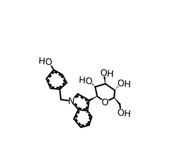 OC[C@H]1O[C@@H](c2cn(Cc3ccc(O)cc3)c3ccccc23)[C@H](O)[C@@H](O)[C@@H]1O